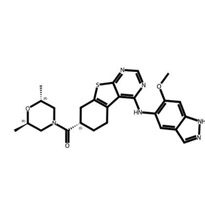 COc1cc2[nH]ncc2cc1Nc1ncnc2sc3c(c12)CC[C@H](C(=O)N1C[C@@H](C)O[C@H](C)C1)C3